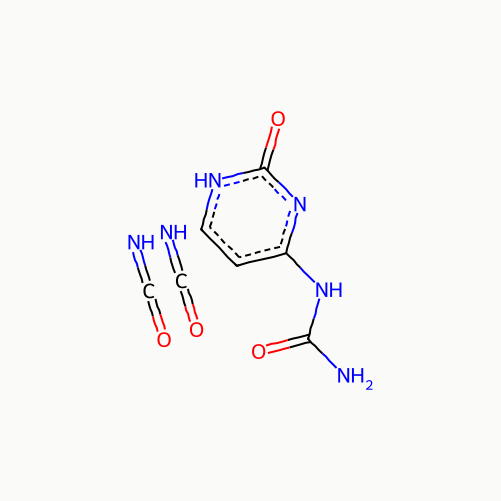 N=C=O.N=C=O.NC(=O)Nc1cc[nH]c(=O)n1